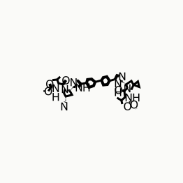 COC(=O)N[C@H](C(=O)N1C[C@@H](C#N)C[C@H]1c1ncc(-c2ccc(-c3ccc(-c4cnc([C@@H]5CC6(CC6)CN5C(=O)[C@@H](NC(=O)OC)C(C)C)[nH]4)cc3)cc2)[nH]1)C(C)C